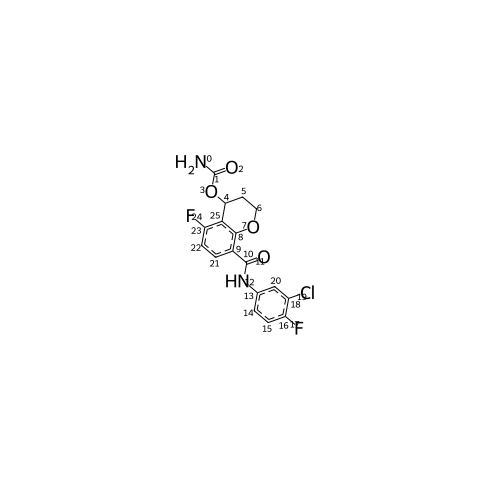 NC(=O)OC1CCOc2c(C(=O)Nc3ccc(F)c(Cl)c3)ccc(F)c21